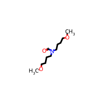 COCCCCN([C]=O)CCCCOC